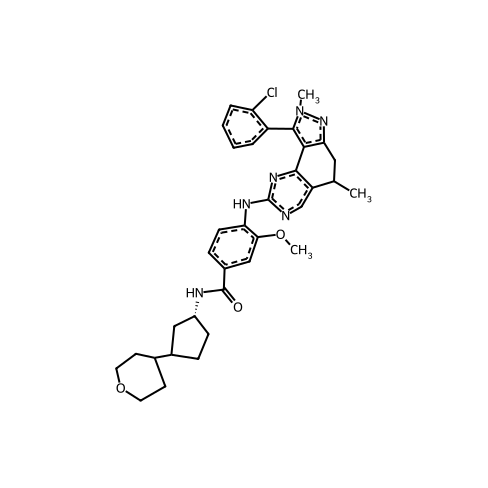 COc1cc(C(=O)N[C@@H]2CCC(C3CCOCC3)C2)ccc1Nc1ncc2c(n1)-c1c(nn(C)c1-c1ccccc1Cl)CC2C